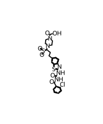 O=C(NC(=O)c1ccccc1Cl)Nc1nc2ccc(CCC(N3CCN(C(=O)O)CC3)=S(=O)=O)cc2s1